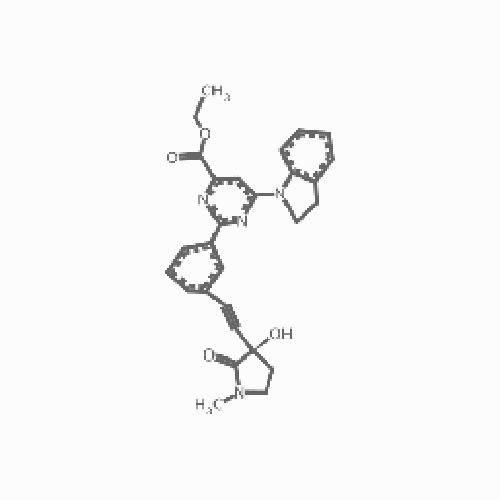 CCOC(=O)c1cc(N2CCc3ccccc32)nc(-c2cccc(C#C[C@]3(O)CCN(C)C3=O)c2)n1